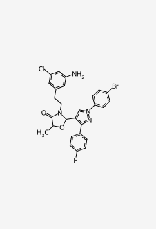 CC1OC(c2cn(-c3ccc(Br)cc3)nc2-c2ccc(F)cc2)N(CCc2cc(N)cc(Cl)c2)C1=O